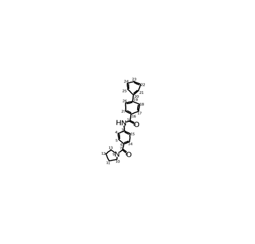 O=C(Nc1ccc(C(=O)N2CCCC2)cc1)c1ccc(-c2ccccc2)cc1